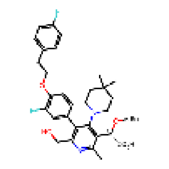 Cc1nc(CO)c(-c2ccc(OCCc3ccc(F)cc3)c(F)c2)c(N2CCC(C)(C)CC2)c1[C@H](OC(C)(C)C)C(=O)O